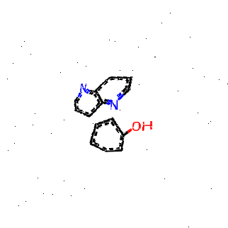 Oc1ccccc1.c1cnc2cccnc2c1